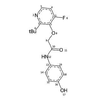 CC(C)(C)c1nccc(F)c1OCC(=O)Nc1ccc(O)cc1